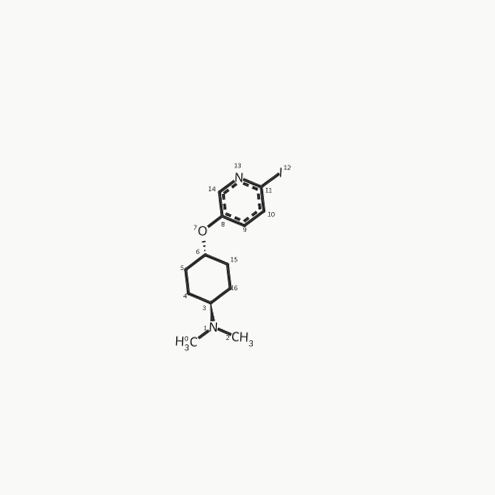 CN(C)[C@H]1CC[C@H](Oc2ccc(I)nc2)CC1